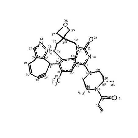 C=CC(=O)N1[C@H](C)CN(c2nc(=O)n3c4c(c(C5C#CC=Cc6cnn(C)c65)c(C(F)(F)F)cc24)SCC2(COC2)C3)C[C@@H]1C